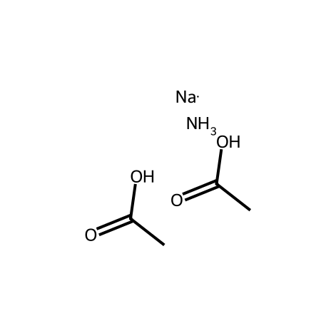 CC(=O)O.CC(=O)O.N.[Na]